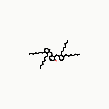 CCCCCCCc1cccc(Cc2cccc(O)c2Cc2cccc(CCCCCCC)c2CCCCCCC)c1CCCCCCC